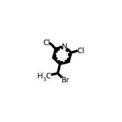 CC(Br)c1cc(Cl)nc(Cl)c1